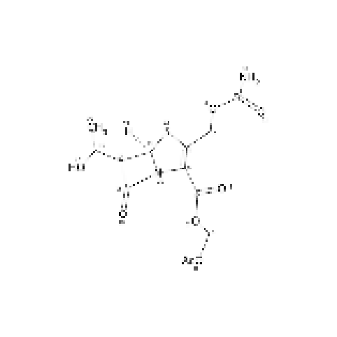 CC(=O)OCOC(=O)C1=C(COC(N)=O)S[C@@H]2[C@@H]([C@@H](C)O)C(=O)N12